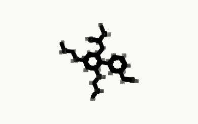 COCOc1cc(CC(=O)OC)c(-c2cccc(C=O)c2)c(OCOC)c1